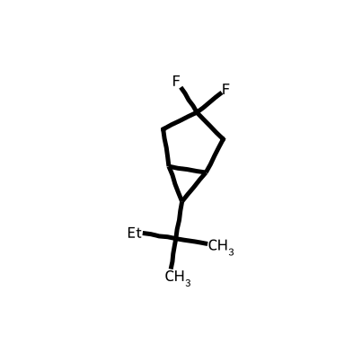 CCC(C)(C)C1C2CC(F)(F)CC21